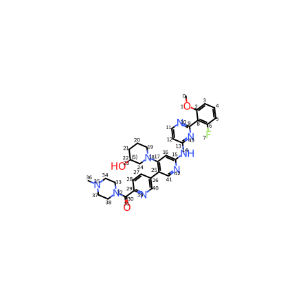 COc1cccc(F)c1-c1nccc(Nc2cc(N3CCC[C@H](O)C3)c(-c3ccc(C(=O)N4CCN(C)CC4)nc3)cn2)n1